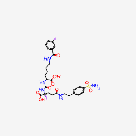 NS(=O)(=O)c1ccc(CCNC(=O)CC[C@@](I)(NC(=O)NC(CCCCNC(=O)c2cccc(I)c2)C(=O)O)C(=O)O)cc1